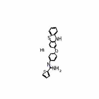 I.N/C(=N\c1ccc(Oc2ccc3c(c2)Nc2ccccc2S3)cc1)c1cccs1